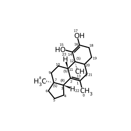 CC1=C2[C@@H]3CCC[C@@]3(C)CC[C@@H]2[C@@]2(C)C(O)=C(O)CCC2C1